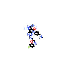 CN(C)Cc1ccc(-n2c(=O)c3c(N)n[nH]c3c3cnc(N(C)C[C@H]4CN(C)c5ccc(F)cc5O4)nc32)cc1